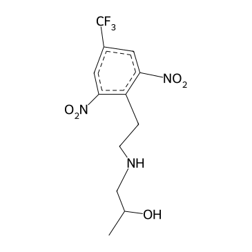 CC(O)CNCCc1c([N+](=O)[O-])cc(C(F)(F)F)cc1[N+](=O)[O-]